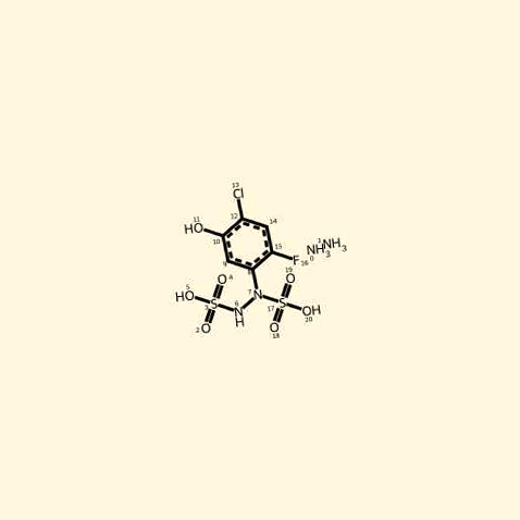 N.N.O=S(=O)(O)NN(c1cc(O)c(Cl)cc1F)S(=O)(=O)O